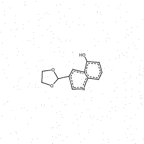 Oc1cccc2ncc(C3OCCO3)cc12